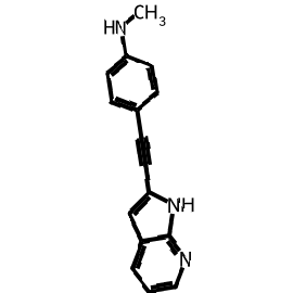 CNc1ccc(C#Cc2cc3cccnc3[nH]2)cc1